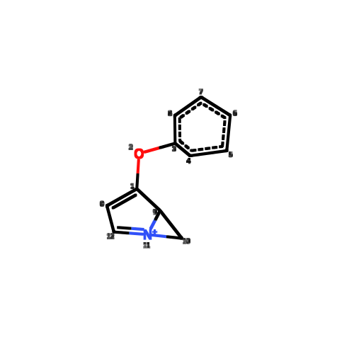 C1=C(Oc2ccccc2)C2C[N+]2=C1